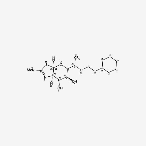 CNC1=N[C@@H]2[C@@H](O)[C@H](O)C([C@@H](OCCC3CCCCC3)C(F)(F)F)O[C@@H]2S1